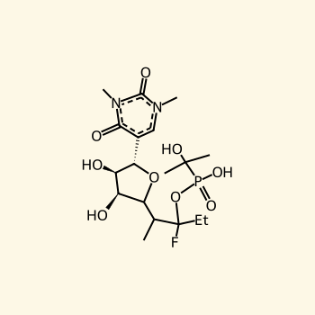 CCC(F)(OP(=O)(O)C(C)(C)O)C(C)C1O[C@@H](c2cn(C)c(=O)n(C)c2=O)[C@H](O)[C@@H]1O